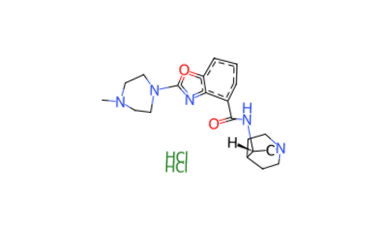 CN1CCN(c2nc3c(C(=O)N[C@@H]4CN5CCC4CC5)cccc3o2)CC1.Cl.Cl